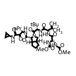 C=C(C)[C@H](NC(=O)[C@H](CNC(=O)OC)NC(=O)OC)C(=O)N[C@H](C(=O)N1C[C@@H]2CCC[C@@H]2[C@H]1C(=O)N[C@@H](CCC)C(=O)C(=O)NC1CC1)C(C)(C)C